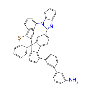 Nc1cccc(-c2cccc(-c3cccc4c3-c3ccc(-c5nc6ccccc6n5-c5ccccc5)cc3C43c4ccccc4Sc4ccccc43)c2)c1